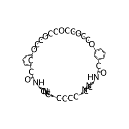 O=C1Cc2cccc(c2)OCCOCCOCCOCCOc2cccc(c2)CC(=O)Nc2ccc(nn2)CCCCc2ccc(nn2)N1